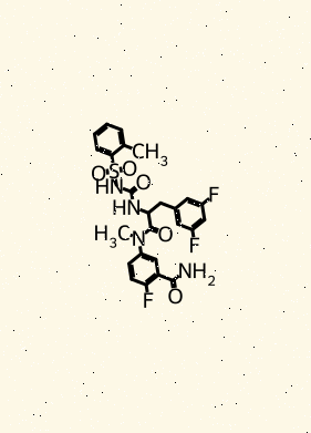 Cc1ccccc1S(=O)(=O)NC(=O)NC(Cc1cc(F)cc(F)c1)C(=O)N(C)c1ccc(F)c(C(N)=O)c1